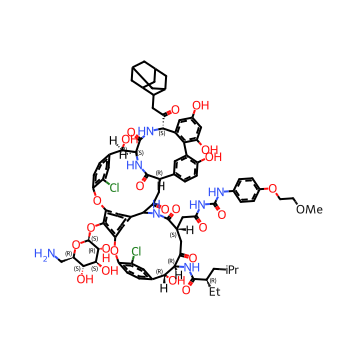 CC[C@H](CC(C)C)C(=O)N[C@H]1C(=O)C[C@@H](CC(=O)NC(=O)Nc2ccc(OCCOC)cc2)C(=O)NC2C(=O)C[C@H]3C(=O)N[C@H](C(=O)N[C@H](C(=O)CC4C5CC6CC(C5)CC4C6)c4cc(O)cc(O)c4-c4cc3ccc4O)[C@H](O)c3ccc(c(Cl)c3)Oc3cc2cc(c3O[C@@H]2O[C@H](CN)[C@@H](O)[C@H](O)[C@H]2O)Oc2ccc(cc2Cl)[C@H]1O